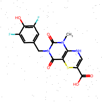 Cn1c2c(c(=O)n(Cc3cc(F)c(O)c(F)c3)c1=O)SC(C(=O)O)=CN2